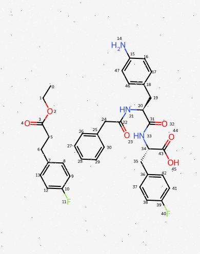 CCOC(=O)CCc1ccc(F)cc1.Nc1ccc(C[C@H](NC(=O)Cc2ccccc2)C(=O)N[C@@H](Cc2ccc(F)cc2)C(=O)O)cc1